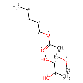 CC(O)CO.CCCCCOC(C)=O.CCOCC